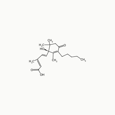 CCCCCC1=C(C)[C@](O)(C=CC(C)=CC(=O)O)C(C)(C)CC1=O